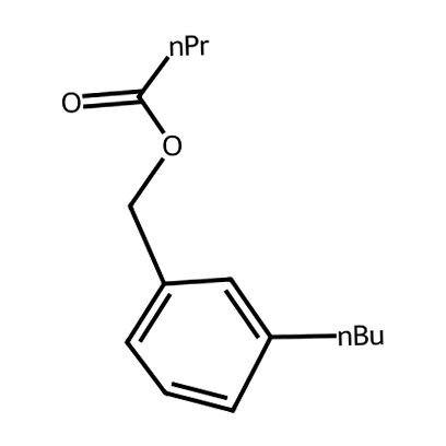 CCCCc1cccc(COC(=O)CCC)c1